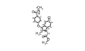 CNC(=O)c1ccc(Oc2c(C)n(CC(=O)OC)c3ccc(Cl)cc23)cc1